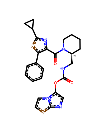 O=C(NC[C@@H]1CCCCN1C(=O)c1nc(C2CC2)sc1-c1ccccc1)Oc1cnc2sccn12